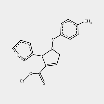 CCOC(=S)C1=CCN(Sc2ccc(C)cc2)C1c1ccccc1